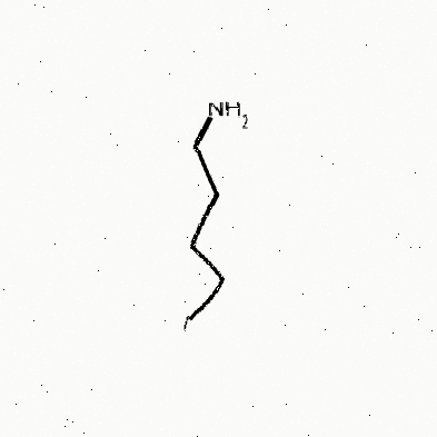 NCCCCI